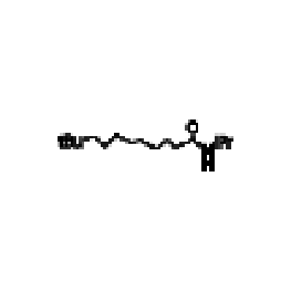 CC(C)NC(=O)CCCCCCCCC(C)(C)C